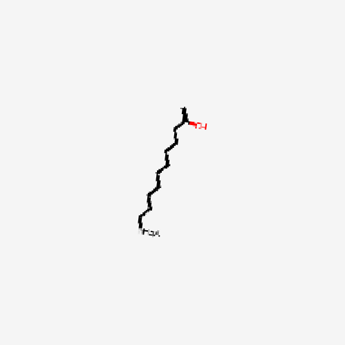 C=C(O)CCCCCCCCCCCCCCCC